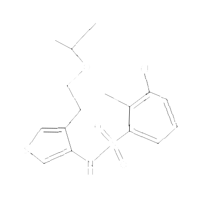 Cc1c(Cl)cccc1S(=O)(=O)Nc1cscc1CCOC(C)C